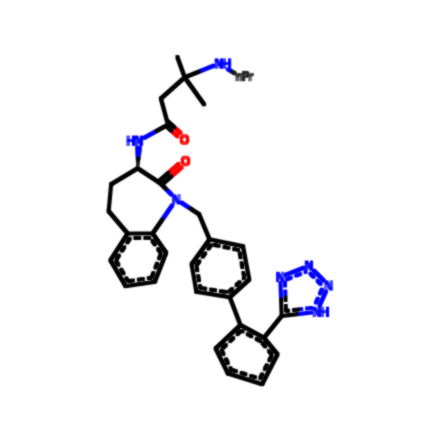 CCCNC(C)(C)CC(=O)N[C@@H]1CCc2ccccc2N(Cc2ccc(-c3ccccc3-c3nnn[nH]3)cc2)C1=O